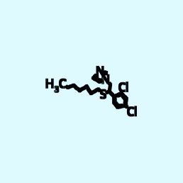 CCCCCCCSC(Cn1ccnc1)c1ccc(Cl)cc1Cl